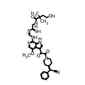 COc1cnc(N/C=N\C(=N)CNC(=O)C(C)(C)CCO)c2[nH]cc(C(=O)C(=O)N3CCC(=C(C#N)c4ccccc4)CC3)c12